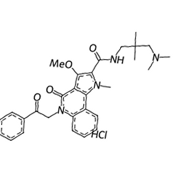 COc1c(C(=O)NCC(C)(C)CN(C)C)n(C)c2c1c(=O)n(CC(=O)c1ccccc1)c1ccccc21.Cl